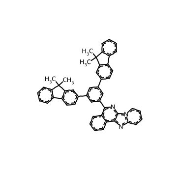 CC1(C)c2ccccc2-c2ccc(-c3cc(-c4ccc5c(c4)C(C)(C)c4ccccc4-5)cc(-c4nc5c(nc6ccccn65)c5ccccc45)c3)cc21